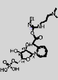 CC/N=C(\NCCCN(C)C)OC(=O)Cc1cccc[n+]1[C@@H]1O[C@H](COP(=O)(O)O)[C@@H](O)[C@H]1O